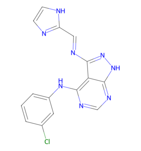 Clc1cccc(Nc2ncnc3[nH]nc(N=Cc4ncc[nH]4)c23)c1